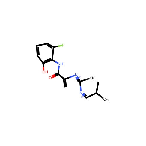 C=C(/N=C(C#N)\N=C/C(C)C(F)(F)F)C(=O)Nc1c(O)cccc1F